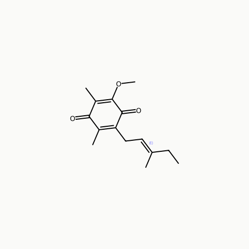 CC/C(C)=C/CC1=C(C)C(=O)C(C)=C(OC)C1=O